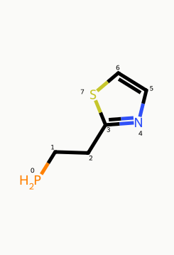 PCCc1nccs1